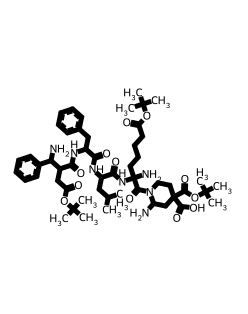 CC(C)CC(NC(=O)C(Cc1ccccc1)NC(=O)C(CC(=O)OC(C)(C)C)C(N)c1ccccc1)C(=O)NC(N)(CCCCC(=O)OC(C)(C)C)C(=O)N1CCC(C(=O)O)(C(=O)OC(C)(C)C)CC1N